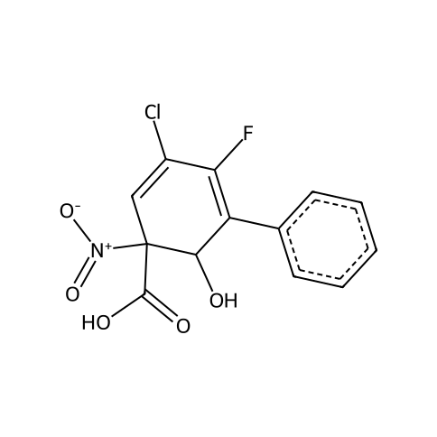 O=C(O)C1([N+](=O)[O-])C=C(Cl)C(F)=C(c2ccccc2)C1O